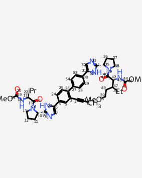 CC#Cc1cc(-c2cnc([C@@H]3CCCN3C(=O)[C@@H](NC(=O)OC)C(C)C)[nH]2)ccc1-c1ccc(-c2cnc([C@@H]3CCCN3C(=O)[C@@H](NC(=O)OC)C(CC)CCOC)[nH]2)cc1